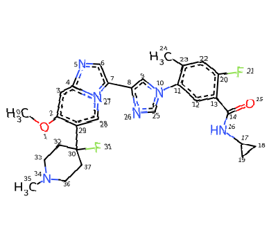 COc1cc2ncc(-c3cn(-c4cc(C(=O)NC5CC5)c(F)cc4C)cn3)n2cc1C1(F)CCN(C)CC1